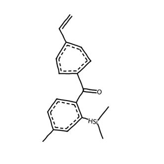 C=Cc1ccc(C(=O)c2ccc(C)cc2[SiH](C)C)cc1